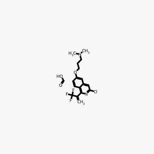 C=C(c1nc(Cl)cc2cc(OCCCN(C)C)ccc12)C(F)(F)F.O=CO